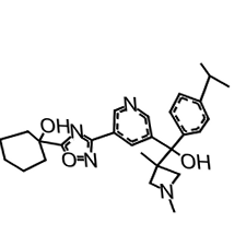 CC(C)c1ccc(C(O)(c2cncc(-c3noc(C4(O)CCCCC4)n3)c2)C2(C)CN(C)C2)cc1